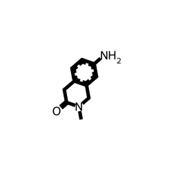 CN1Cc2cc(N)ccc2CC1=O